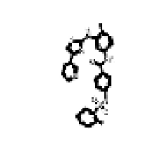 Cc1ccc(NC(=O)c2ccc(OS(=O)(=O)c3ccccc3F)cc2)cc1Nc1nc(-c2cccnc2)cs1